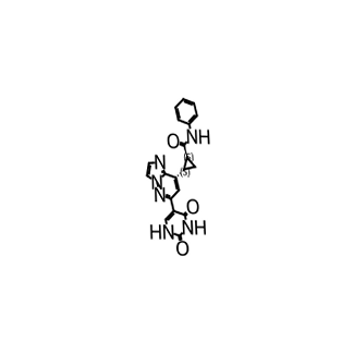 O=C(Nc1ccccc1)[C@H]1C[C@@H]1c1cc(-c2c[nH]c(=O)[nH]c2=O)nn2ccnc12